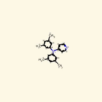 Cc1cc(C)cc(N(c2ccncc2)c2cc(C)cc(C)c2)c1